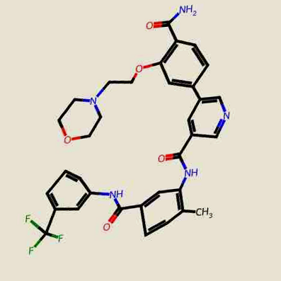 Cc1ccc(C(=O)Nc2cccc(C(F)(F)F)c2)cc1NC(=O)c1cncc(-c2ccc(C(N)=O)c(OCCN3CCOCC3)c2)c1